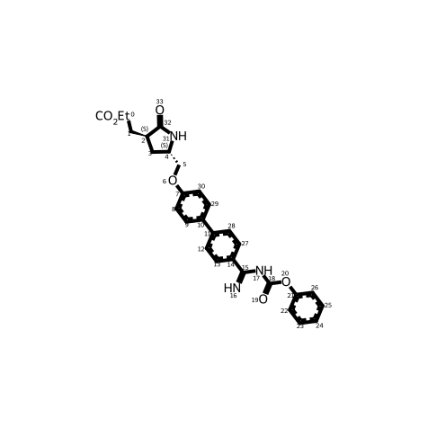 CCOC(=O)C[C@@H]1C[C@@H](COc2ccc(-c3ccc(C(=N)NC(=O)Oc4ccccc4)cc3)cc2)NC1=O